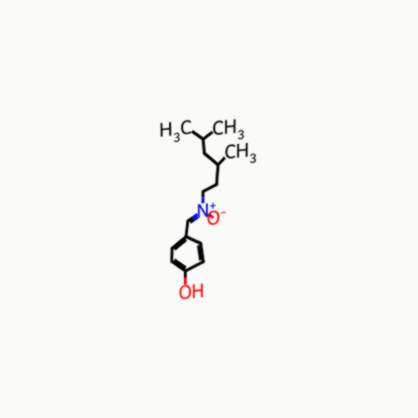 CC(C)CC(C)CC[N+]([O-])=Cc1ccc(O)cc1